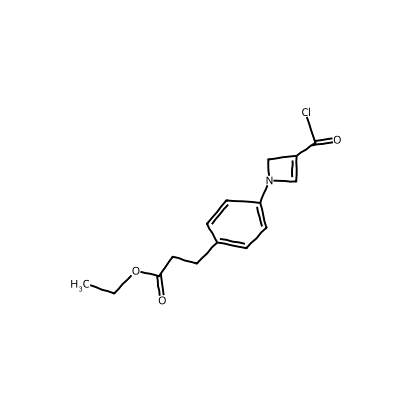 CCOC(=O)CCc1ccc(N2C=C(C(=O)Cl)C2)cc1